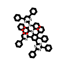 c1ccc(-c2cc(-c3ccccc3)nc(-c3cc(-c4nc(-c5ccccc5)nc(-c5ccccc5)n4)c(-c4ccccc4)c(-c4ccccc4)c3N3c4ccccc4N(c4nc(-c5ccccc5)cc(-c5ccccc5)n4)c4ccccc43)n2)cc1